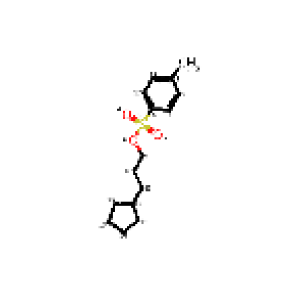 Cc1ccc(S(=O)(=O)OCCCC2CCCC2)cc1